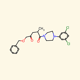 CC(CC(=O)COCc1ccccc1)C(=O)N1CCN(c2cc(Cl)cc(Cl)c2)CC1